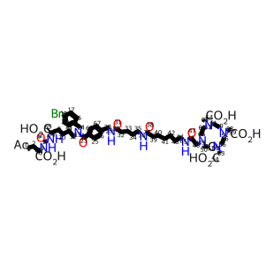 CC(=O)CC[C@@H](NC(=O)N[C@H](CCCCN(Cc1ccc(Br)cc1)C(=O)c1ccc(CNC(=O)CCCCNC(=O)CCCCCCNC(=O)CN2CCN(CC(=O)O)CCN(CC(=O)O)CCN(CC(=O)O)CC2)cc1)C(=O)O)C(=O)O